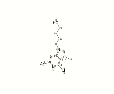 CC(=O)c1cc2c(c(C)cn2CCCCO)c(Cl)n1